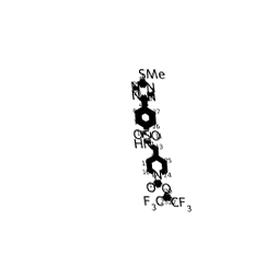 CSc1nnc(-c2ccc(S(=O)(=O)NCC3CCN(C(=O)OC(C(F)(F)F)C(F)(F)F)CC3)cc2)nn1